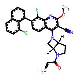 C=CC(=O)N1CC[C@@H]2[C@H]1CN2c1c(C#N)c(OC)nc2c(F)c(-c3cccc4cccc(Cl)c34)ccc12